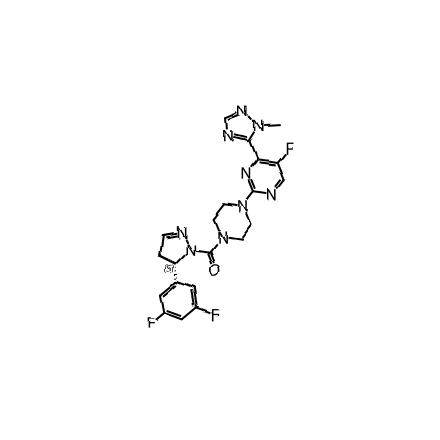 Cn1ncnc1-c1nc(N2CCN(C(=O)N3N=CC[C@H]3c3cc(F)cc(F)c3)CC2)ncc1F